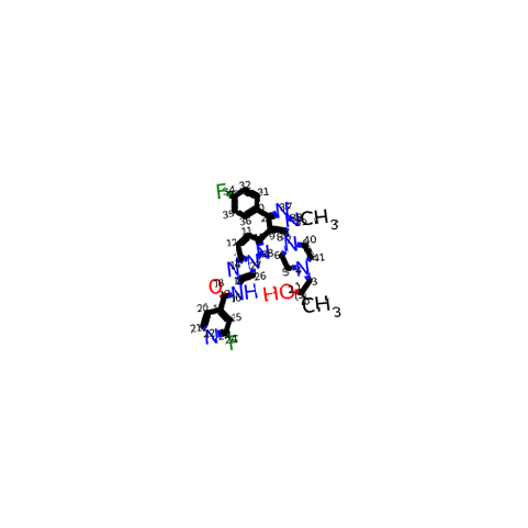 C[C@H](O)CN1CCN(c2c(-c3ccc4nc(NC(=O)c5ccnc(F)c5)cn4n3)c(-c3ccc(F)cc3)nn2C)CC1